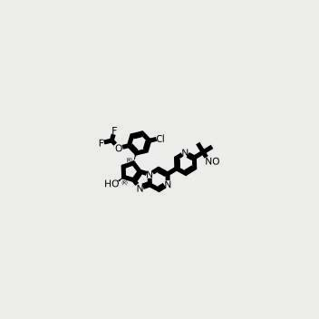 CC(C)(N=O)c1ccc(-c2cn3c4c(nc3cn2)[C@H](O)C[C@@H]4c2cc(Cl)ccc2OC(F)F)cn1